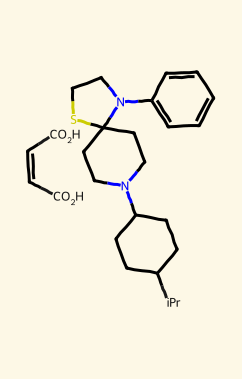 CC(C)C1CCC(N2CCC3(CC2)SCCN3c2ccccc2)CC1.O=C(O)/C=C\C(=O)O